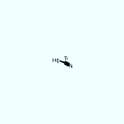 N#[C][Hf].[Ti]